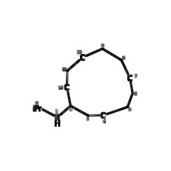 CC(C)BC1CCCCCCCCCC1